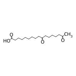 CC(=O)CCCCCC(=O)CCCCCCCCC(=O)O